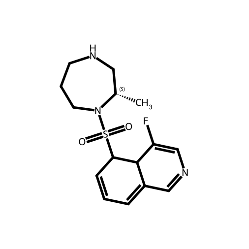 C[C@H]1CNCCCN1S(=O)(=O)C1C=CC=C2C=NC=C(F)C21